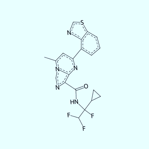 Cc1cc(-c2cccc3scnc23)nc2c(C(=O)NC(F)(C(F)F)C3CC3)ncn12